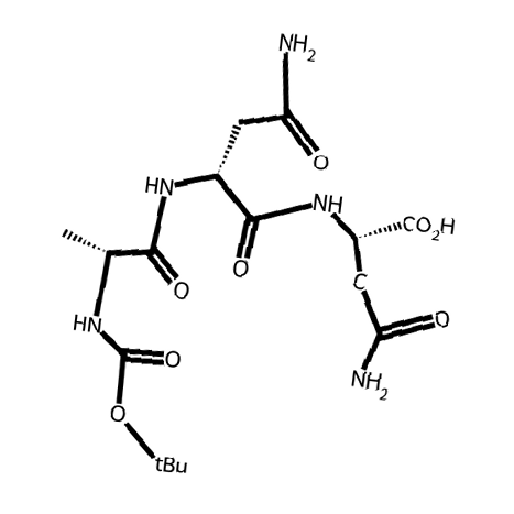 C[C@@H](NC(=O)OC(C)(C)C)C(=O)N[C@H](CC(N)=O)C(=O)N[C@@H](CC(N)=O)C(=O)O